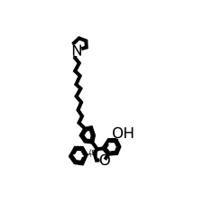 Oc1ccc2c(c1)C(c1ccc(CCCCCCCCCCCN3CCCC3)cc1)[C@@H](c1ccccc1)CO2